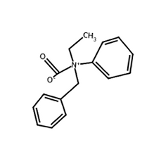 CC[N+](Cc1ccccc1)(C(=O)[O-])c1ccccc1